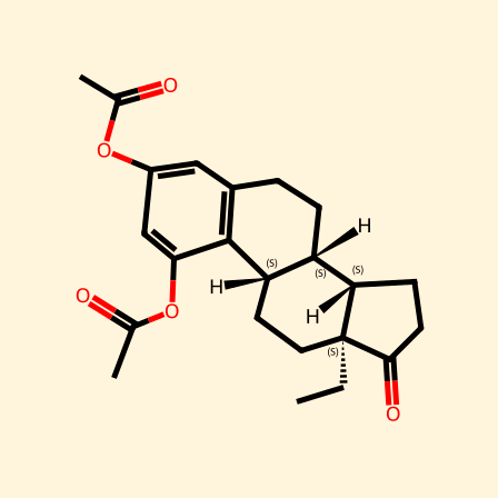 CC[C@]12CC[C@@H]3c4c(cc(OC(C)=O)cc4OC(C)=O)CC[C@@H]3[C@@H]1CCC2=O